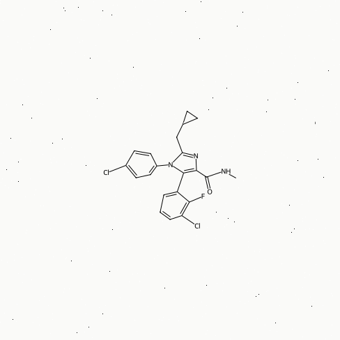 CNC(=O)c1nc(CC2CC2)n(-c2ccc(Cl)cc2)c1-c1cccc(Cl)c1F